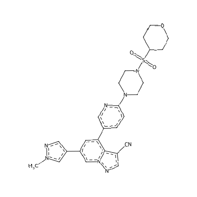 Cn1cc(-c2cc(-c3ccc(N4CCN(S(=O)(=O)C5CCOCC5)CC4)nc3)c3c(C#N)cnn3c2)cn1